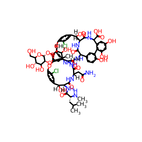 CN[C@H](CC(C)C)C(=O)N[C@@H]1C(=O)N[C@@H](CC(N)=O)C(=O)N[C@H]2C(=O)N[C@H]3C(=O)N[C@H](C(=O)NC(C(=O)O)c4cc(O)cc(O)c4-c4cc3ccc4O)[C@H](O)c3ccc(c(Cl)c3)Oc3cc2cc(c3O[C@H]2OC(CO)[C@@H](O)C(O)[C@@H]2OC2CC(C)(N)C(O)C(C)O2)Oc2ccc(cc2Cl)[C@H]1O